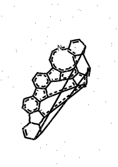 C1=CC2C3C4=c5c6c7c8c(ccc9c%10ccc%11c%12ccnc1c3c1cc%12c3c%11c%10c(c89)c6c3c51)C1C=CC2C4C71